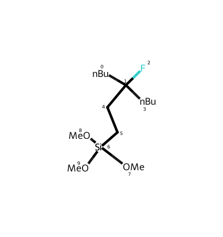 CCCCC(F)(CCCC)CC[Si](OC)(OC)OC